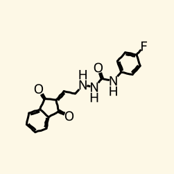 O=C(NNCC=C1C(=O)c2ccccc2C1=O)Nc1ccc(F)cc1